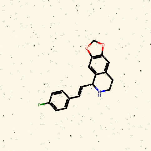 Fc1ccc(C=CC2NCCc3cc4c(cc32)OCO4)cc1